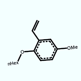 C=Cc1cc(OC)ccc1OCCCCCC